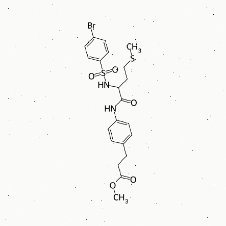 COC(=O)CCc1ccc(NC(=O)C(CCSC)NS(=O)(=O)c2ccc(Br)cc2)cc1